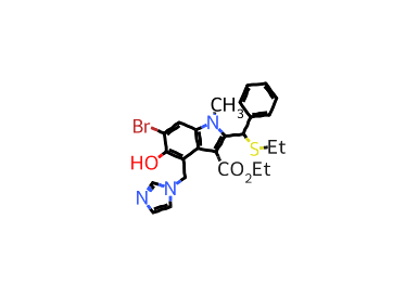 CCOC(=O)c1c(C(SCC)c2ccccc2)n(C)c2cc(Br)c(O)c(Cn3ccnc3)c12